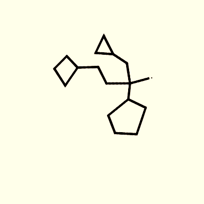 [CH2]C(CCC1CCC1)(CC1CC1)C1CCCC1